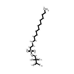 CCCCCCCCCCCCSCCS(=O)(=O)OCC(F)(F)C(F)F